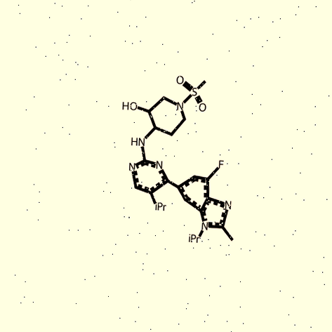 Cc1nc2c(F)cc(-c3nc(NC4CCN(S(C)(=O)=O)CC4O)ncc3C(C)C)cc2n1C(C)C